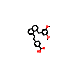 COc1cc(CC2=CCCc3cccc(CCc4ccc(C(=O)O)cc4)c32)cc(OC)c1